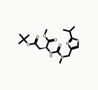 COC(=O)[C@H](CC(=O)OC(C)(C)C)NC(=O)N(C)Cc1csc(C(C)C)n1